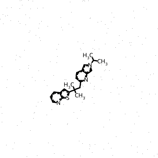 CC(C)n1cc2ccc(CC(C)(C)c3cc4cccnc4s3)nc2c1